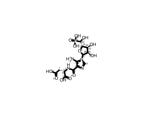 Nc1c(C(=O)N[C@@H](CC(=O)O)C(=O)O)ncn1C1O[C@H](C(O)P(=O)(O)O)[C@@H](O)[C@H]1O